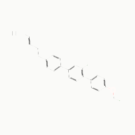 C/C=C/CCc1ccc(-c2ccc(-c3ccc(OCF)cc3)c(F)c2)cc1